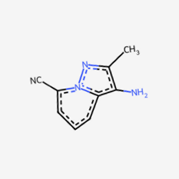 Cc1nn2c(C#N)cccc2c1N